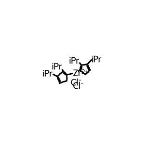 CC(C)C1=CC[C]([Zr+2][C]2=C(C(C)C)C(C(C)C)=CC2)=C1C(C)C.[Cl-].[Cl-]